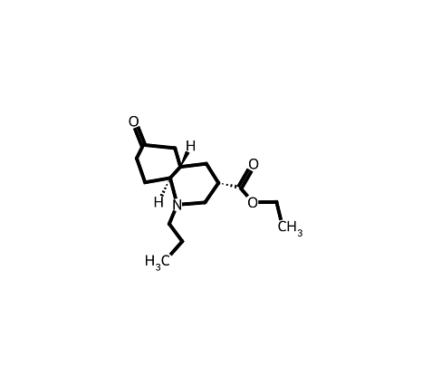 CCCN1C[C@@H](C(=O)OCC)C[C@H]2CC(=O)CC[C@@H]21